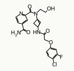 NC(=O)c1ccnc(C(=O)N(CCO)C23CC(NC(=O)COc4ccc(Cl)c(F)c4)(C2)C3)c1